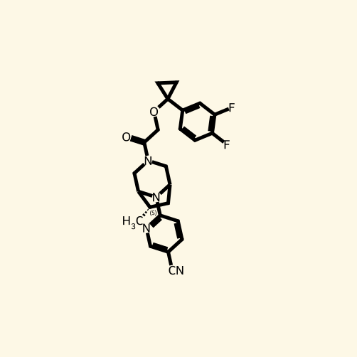 C[C@H]1CC2CN(C(=O)COC3(c4ccc(F)c(F)c4)CC3)CC1N2c1ccc(C#N)cn1